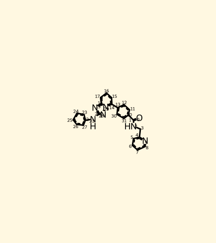 O=C(NCc1ccccn1)c1ccc(-c2cccc3nc(Nc4ccccc4)nn23)cc1